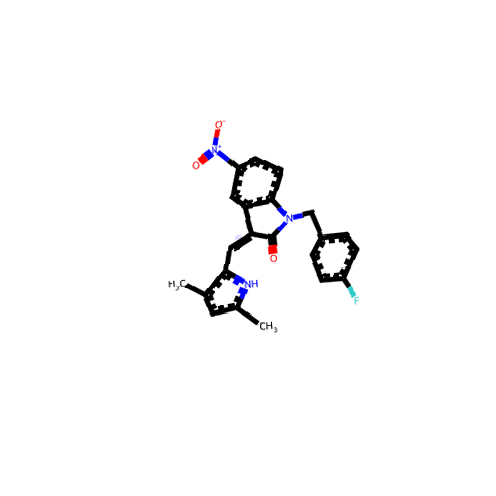 Cc1cc(C)c(/C=C2\C(=O)N(Cc3ccc(F)cc3)c3ccc([N+](=O)[O-])cc32)[nH]1